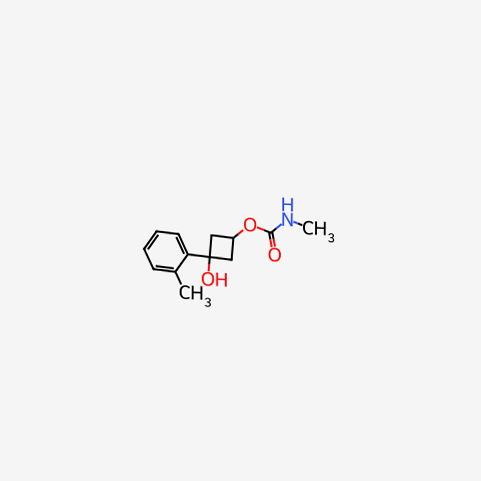 CNC(=O)OC1CC(O)(c2ccccc2C)C1